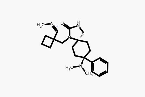 C/N=C\C1(CN2C(=O)NC[C@]23CC[C@](c2ccccc2)(N(C)C)CC3)CCC1